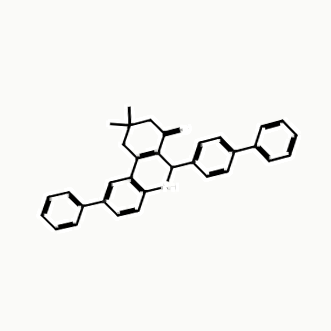 CC1(C)CC(=O)C2=C(C1)c1cc(-c3ccccc3)ccc1NC2c1ccc(-c2ccccc2)cc1